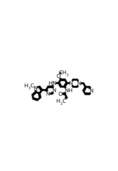 C=CC(=O)Nc1cc(Nc2cc(-c3cn(C)c4ccccc34)ncn2)c(OC)cc1N1CCN(Cc2cccnc2)CC1